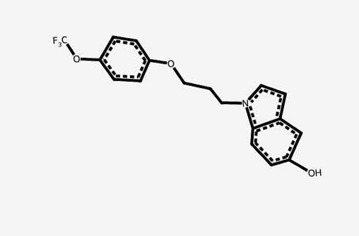 Oc1ccc2c(ccn2CCCOc2ccc(OC(F)(F)F)cc2)c1